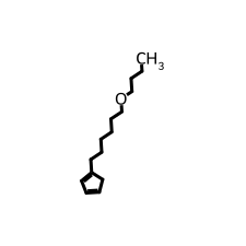 CCCCOCCCCCCC1=CC=CC1